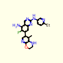 CCc1ccc(Nc2ncc3c(N)c(F)c(-c4cnc5c(c4C)NCCO5)cc3n2)cn1